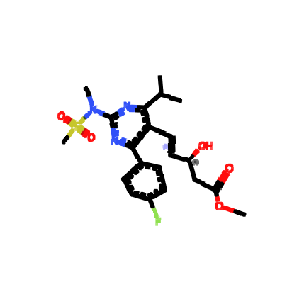 COC(=O)C[C@H](O)/C=C/c1c(-c2ccc(F)cc2)nc(N(C)S(C)(=O)=O)nc1C(C)C